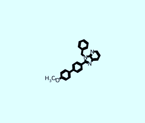 COc1ccc(-c2ccc(-c3nc4cccnc4n3Cc3ccccc3)cc2)cc1